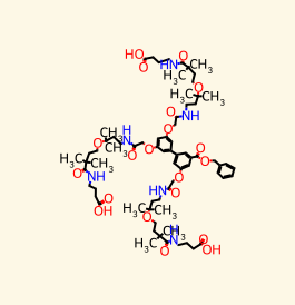 CC(C)(CCNC(=O)COc1cc(OCC(=O)NCCC(C)(C)OCCC(C)(C)C(=O)NCCCC(=O)O)cc(-c2cc(OCC(=O)NCCC(C)(C)OCCC(C)(C)C(=O)NCCCC(=O)O)cc(C(=O)OCc3ccccc3)c2)c1)OCCC(C)(C)C(=O)NCCCC(=O)O